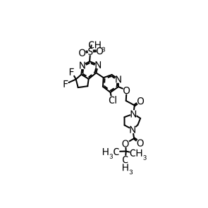 CC(C)(C)OC(=O)N1CCN(C(=O)COc2ncc(-c3nc(S(C)(=O)=O)nc4c3CCC4(F)F)cc2Cl)CC1